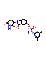 Cc1cc(C)nc(NC(=O)OCc2ccc3c(c2)C(=O)N(C2CCC(=O)NC2=O)C3)c1